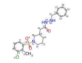 Cc1c(Cl)cccc1S(=O)(=O)N1CCCC(CC(=O)NNCc2ccccc2)C1